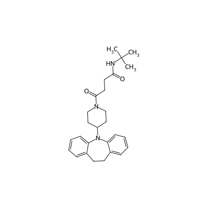 CC(C)(C)NC(=O)CCC(=O)N1CCC(N2c3ccccc3CCc3ccccc32)CC1